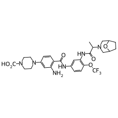 CC(C(=O)Nc1cc(NC(=O)c2ccc(N3CCN(C(=O)O)CC3)cc2N)ccc1OC(F)(F)F)N1CC2CCC(C1)O2